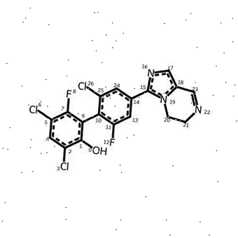 Oc1c(Cl)cc(Cl)c(F)c1-c1c(F)cc(-c2ncc3n2CCN=C3)cc1Cl